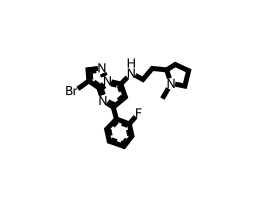 CN1CCCC1CCNc1cc(-c2ccccc2F)nc2c(Br)cnn12